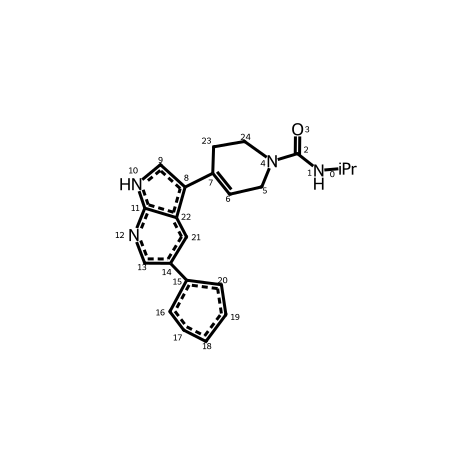 CC(C)NC(=O)N1CC=C(c2c[nH]c3ncc(-c4ccccc4)cc23)CC1